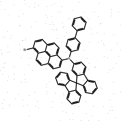 Brc1ccc2ccc3c(N(c4ccc(-c5ccccc5)cc4)c4ccc5c(c4)C4(c6ccccc6-c6ccccc64)c4ccccc4-5)ccc4ccc1c2c43